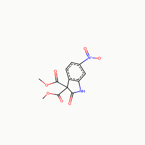 COC(=O)C1(C(=O)OC)C(=O)Nc2cc([N+](=O)[O-])ccc21